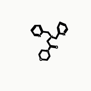 O=C(CN(Cc1ccccn1)Cc1ccccn1)N1CCOCC1